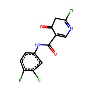 O=C1CC(Cl)=NC=C1C(=O)Nc1ccc(F)c(Cl)c1